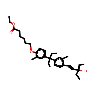 CCOC(=O)CCCCCOc1ccc(C(CC)(CC)c2ccc(C#CC(O)(CC)CC)c(C)c2)cc1C